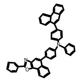 c1ccc(-c2nc3cc(-c4ccc(N(c5ccccc5)c5ccc(-c6cc7ccccc7c7ccccc67)cc5)cc4)c4ccccc4c3o2)cc1